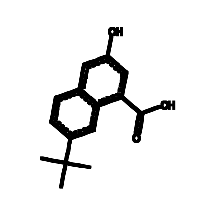 CC(C)(C)c1ccc2cc(O)cc(C(=O)O)c2c1